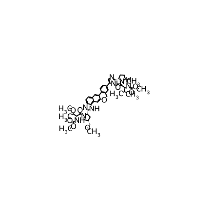 COC[C@H]1C[C@@H](c2nc3ccc4cc5c(cc4c3[nH]2)OCc2cc(-c3cnc([C@@H]4CC[C@H](C)N4C(=O)[C@@H](NC(=O)OC)C(C)C)[nH]3)ccc2-5)N(C(=O)[C@@H](NC(=O)OC)[C@@H](C)OC)C1